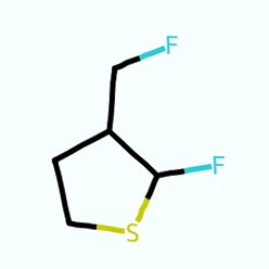 FCC1CCSC1F